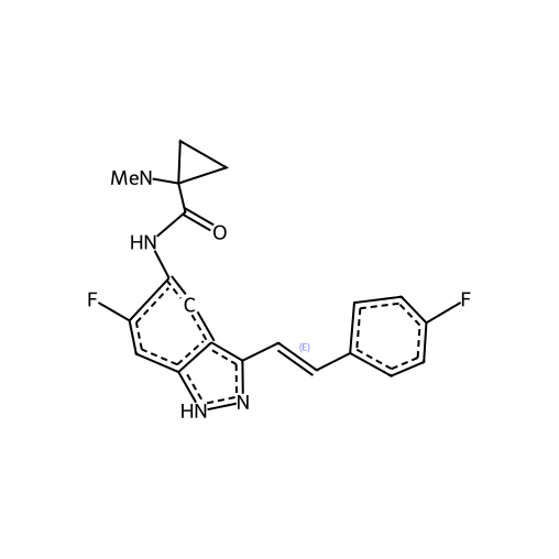 CNC1(C(=O)Nc2cc3c(/C=C/c4ccc(F)cc4)n[nH]c3cc2F)CC1